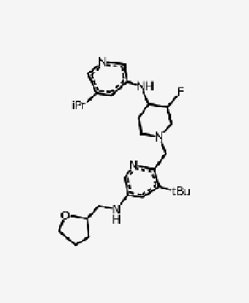 CC(C)c1cncc(NC2CCN(Cc3ncc(NCC4CCCO4)cc3C(C)(C)C)CC2F)c1